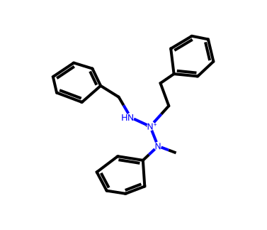 CN(c1ccccc1)[N+](CCc1ccccc1)NCc1ccccc1